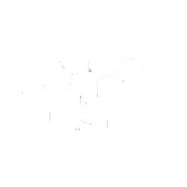 CCC(C(=O)C1=CC=C(O)CC1=NP(=O)(O)O)c1ccc(O)cc1